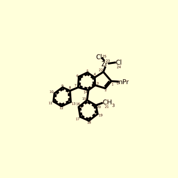 CCCC1=Cc2c(ccc(-c3ccccc3)c2-c2ccccc2C)[CH]1[Zr]([Cl])[Cl]